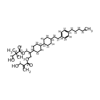 C=C(CO)C(=O)OCC(COC(=O)C(C)(C)CO)C1CCC(C2CCC(CCc3ccc(CCCCC)cc3)CC2)CC1